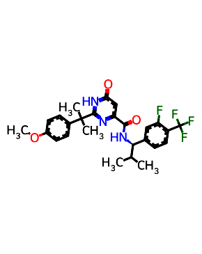 COc1ccc(C(C)(C)c2nc(C(=O)N[C@@H](c3ccc(C(F)(F)F)c(F)c3)C(C)C)cc(=O)[nH]2)cc1